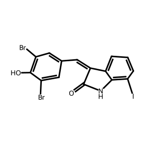 O=C1Nc2c(I)cccc2C1=Cc1cc(Br)c(O)c(Br)c1